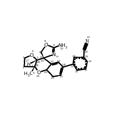 C[C@@]12CCO[C@@H]1[C@@]1(COC(N)=N1)C1=CC(c3cccc(C#N)c3)=CCC1O2